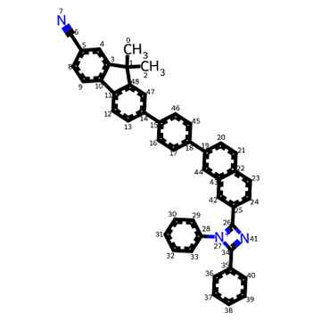 CC1(C)c2cc(C#N)ccc2-c2ccc(-c3ccc(-c4ccc5ccc(C6=[N+](c7ccccc7)C(c7ccccc7)=N6)cc5c4)cc3)cc21